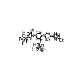 CCn1nnc(-c2ccc(-c3ccc(N4CC(C(O)(F)C(F)F)OC4=O)cc3F)cn2)n1.O=P(O)(O)O